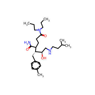 CCCN(CCC)C(=O)CCC(C(N)=O)[C@@H](Cc1ccc(C)cc1)[C@H](O)CNCCC(C)C